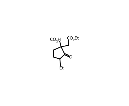 CCOC(=O)CC1(C(=O)O)CCC(CC)C1=O